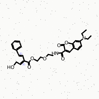 CCN(CC)c1ccc2cc(C(=O)NCCOCCOC(=O)C(/C=C/c3ccccc3)=C/CO)c(=O)oc2c1